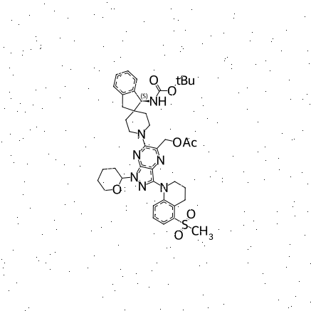 CC(=O)OCc1nc2c(N3CCCc4c3cccc4S(C)(=O)=O)nn(C3CCCCO3)c2nc1N1CCC2(CC1)Cc1ccccc1[C@H]2NC(=O)OC(C)(C)C